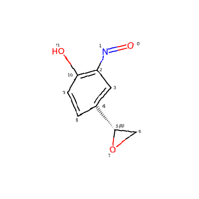 O=Nc1cc([C@@H]2CO2)ccc1O